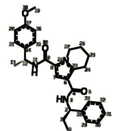 CC[C@@H](NC(=O)c1cc(C(=O)N[C@H](C)c2ccc(OC)cc2)n2c1CCCC2)c1ccccc1